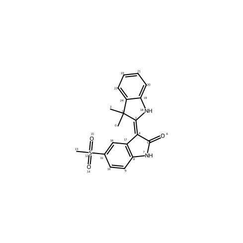 CC1(C)/C(=C2/C(=O)Nc3ccc(S(C)(=O)=O)cc32)Nc2ccccc21